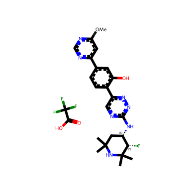 COc1cc(-c2ccc(-c3cnc(N[C@H]4CC(C)(C)NC(C)(C)[C@H]4F)nn3)c(O)c2)ncn1.O=C(O)C(F)(F)F